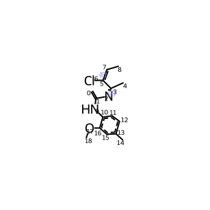 C=C(/N=C(C)\C(Cl)=C/C)Nc1ccc(C)cc1OC